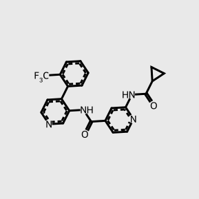 O=C(Nc1cnccc1-c1ccccc1C(F)(F)F)c1ccnc(NC(=O)C2CC2)c1